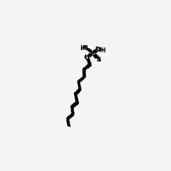 CCCCCCCCCCCOP(O)(=S)S